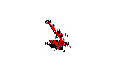 C=CCOC(=O)N[C@@H](CCC(=O)NCCOCCOCCOCCNC(=O)CCCc1ccc(OC)cc1)C(=O)NCC(=O)NCC(=O)N[C@@H](Cc1ccccc1)C(=O)NCC(=O)Nc1ccc(COC(=O)N(C)[C@H](C(=O)N[C@H](C(=O)N(C)[C@@H]([C@@H](C)CC)[C@@H](CC(=O)N2CCC[C@H]2[C@H](OC)[C@@H](C)C(=O)N[C@H](C)[C@@H](O)c2ccccc2)OC)C(C)C)C(C)C)c(C(=O)NCCCN(C)C)c1